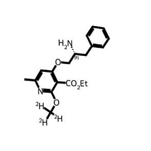 [2H]C([2H])([2H])Oc1nc(C)cc(OC[C@H](N)Cc2ccccc2)c1C(=O)OCC